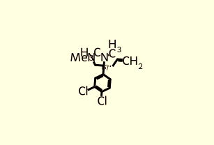 C=CC[C@@](CNC)(c1ccc(Cl)c(Cl)c1)N(C)C